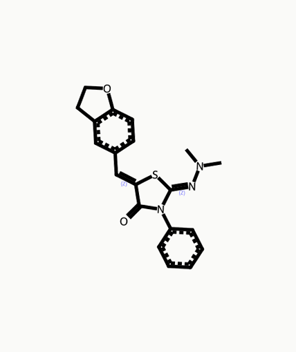 CN(C)/N=C1\S/C(=C\c2ccc3c(c2)CCO3)C(=O)N1c1ccccc1